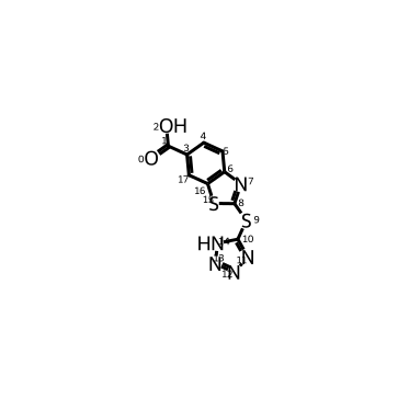 O=C(O)c1ccc2nc(Sc3nnn[nH]3)sc2c1